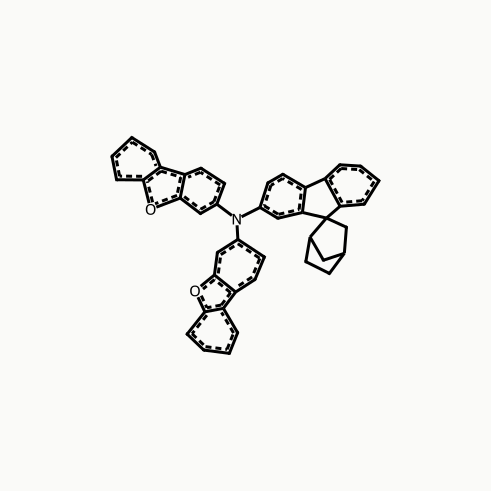 c1ccc2c(c1)-c1ccc(N(c3ccc4c(c3)oc3ccccc34)c3ccc4c(c3)oc3ccccc34)cc1C21CC2CCC1C2